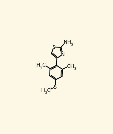 CSc1cc(C)c(-c2csc(N)n2)c(C)c1